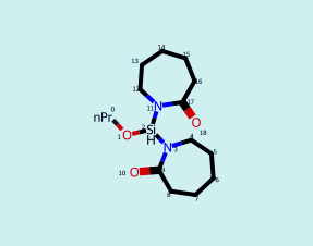 CCCO[SiH](N1CCCCCC1=O)N1CCCCCC1=O